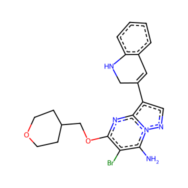 Nc1c(Br)c(OCC2CCOCC2)nc2c(C3=Cc4ccccc4NC3)cnn12